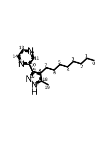 CCCCCCCCc1c(-c2cnccn2)n[nH]c1C